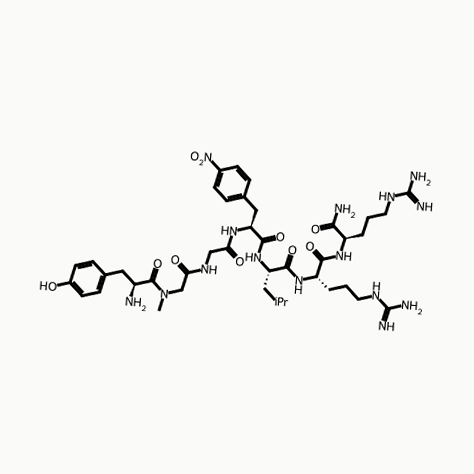 CC(C)C[C@H](NC(=O)[C@H](Cc1ccc([N+](=O)[O-])cc1)NC(=O)CNC(=O)CN(C)C(=O)[C@@H](N)Cc1ccc(O)cc1)C(=O)N[C@@H](CCCNC(=N)N)C(=O)N[C@H](CCCNC(=N)N)C(N)=O